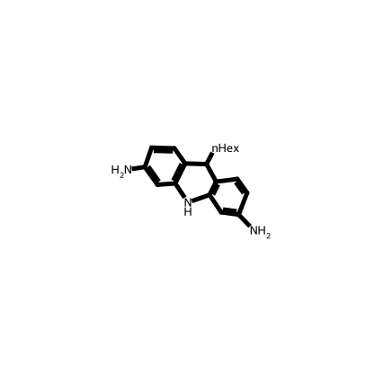 CCCCCCC1c2ccc(N)cc2Nc2cc(N)ccc21